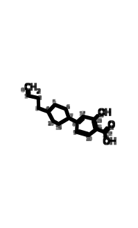 C=CCCC1CCC(c2ccc(C(=O)O)c(O)c2)CC1